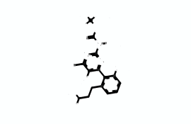 Cc1cccc(CCC(C)C)c1-c1nc(N(C)C(=O)OC(C)(C)C)nc(Cl)c1C